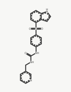 O=C(NCc1cccnc1)Nc1ccc(S(=O)(=O)c2cccc3[nH]ccc23)cc1